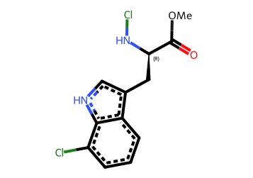 COC(=O)[C@@H](Cc1c[nH]c2c(Cl)cccc12)NCl